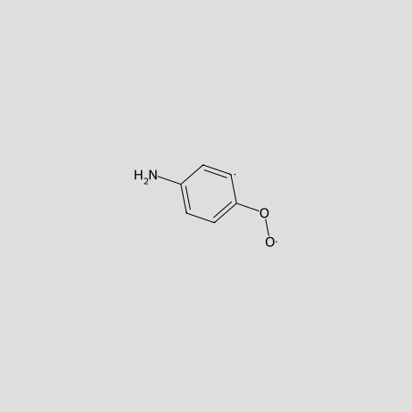 Nc1c[c]c(O[O])cc1